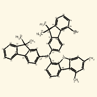 Cc1cc(C)c2c(c1)oc1c(N(c3ccc4c(c3)C(C)(C)c3ccccc3-4)c3ccc4c(c3)C(C)(C)c3cccc(C(C)(C)C)c3-4)cccc12